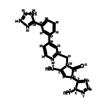 CCCCc1cn(-c2nnnn2CCC)c(=O)n1Cc1cc(-c2cccc(-c3nnn[nH]3)c2)ccn1